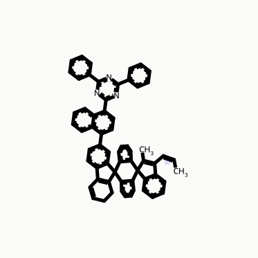 C/C=C\C1=C(C)C2(c3ccccc31)c1ccccc1C1(C3=C(C=CCC3)c3ccc(-c4ccc(-c5nc(-c6ccccc6)nc(-c6ccccc6)n5)c5ccccc45)cc31)c1ccccc12